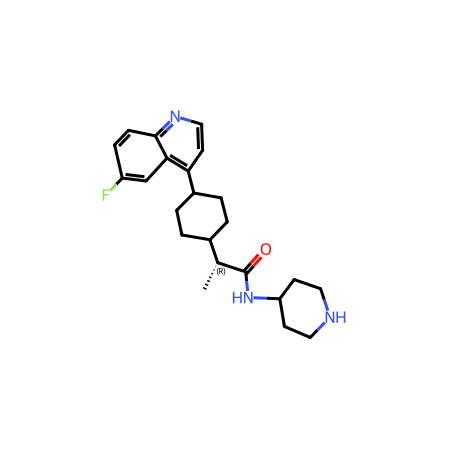 C[C@@H](C(=O)NC1CCNCC1)C1CCC(c2ccnc3ccc(F)cc23)CC1